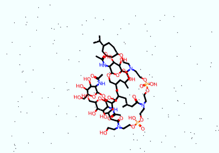 CC(=O)NC1C(OCC(C)CC(C)CC(=O)N(CCO)CCOP(=O)(O)OCCN(CCOP(=O)(O)OCCN(CCOC2CCCC(C(C)C)CC2)C(=O)CC(C)CC(C)COC2OC(CO)C(O)C(O)C2NC(C)=O)C(=O)CC(C)CC(C)COC2OC(CO)C(O)C(O)C2NC(C)=O)OC(CO)C(O)C1O